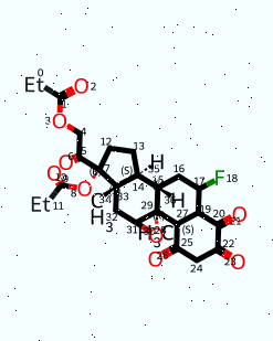 CCC(=O)OCC(=O)[C@@]1(OC(=O)CC)CC[C@H]2[C@@H]3CC(F)C4C(=O)C(=O)CC(=O)[C@]4(C)[C@]34OC4C[C@@]21C